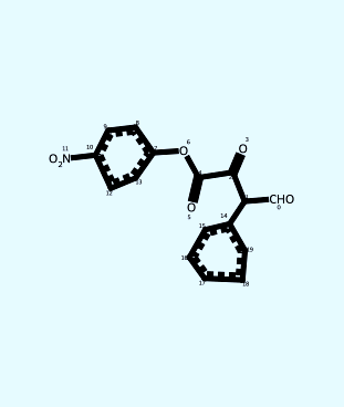 O=CC(C(=O)C(=O)Oc1ccc([N+](=O)[O-])cc1)c1ccccc1